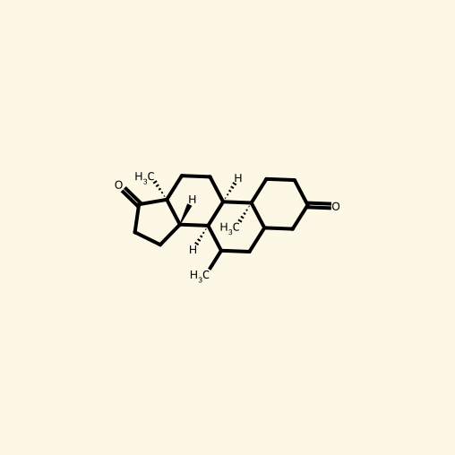 CC1CC2CC(=O)CC[C@]2(C)[C@@H]2CC[C@]3(C)C(=O)CC[C@H]3[C@H]12